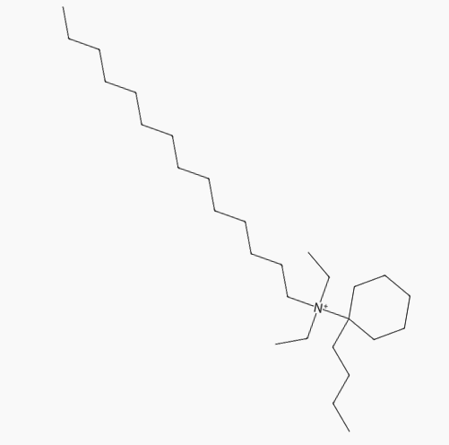 CCCCCCCCCCCCCC[N+](CC)(CC)C1(CCCC)CCCCC1